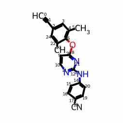 C#Cc1cc(C)c(Oc2ccnc(Nc3ccc(C#N)cc3)n2)c(C)c1